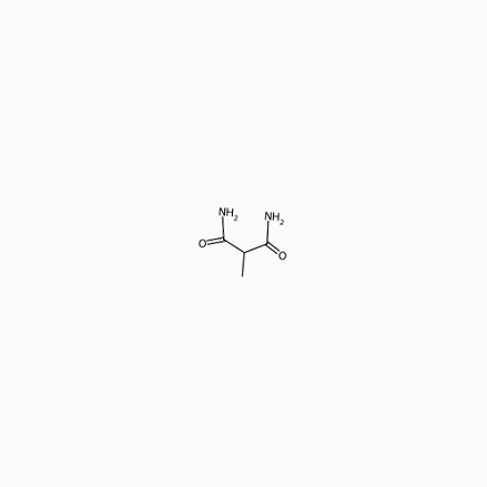 CC(C(N)=O)C(N)=O